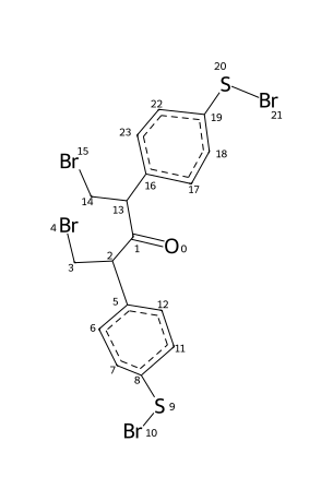 O=C(C(CBr)c1ccc(SBr)cc1)C(CBr)c1ccc(SBr)cc1